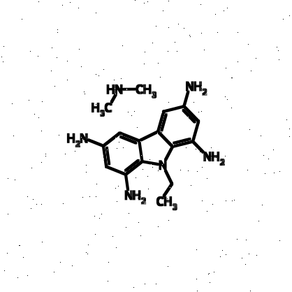 CCn1c2c(N)cc(N)cc2c2cc(N)cc(N)c21.CNC